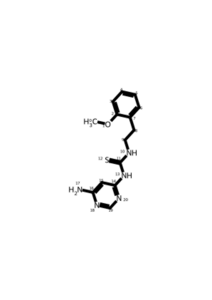 COc1ccccc1CCNC(=S)Nc1cc(N)ncn1